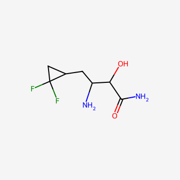 NC(=O)C(O)C(N)CC1CC1(F)F